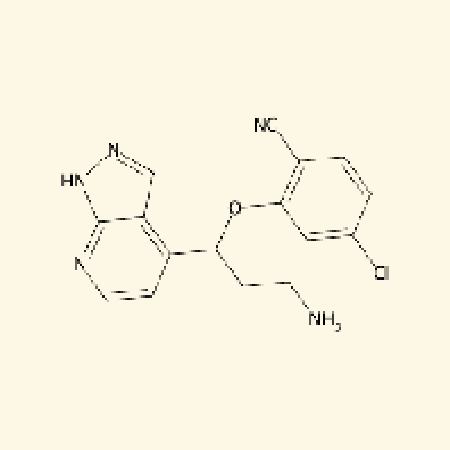 N#Cc1ccc(Cl)cc1OC(CCN)c1ccnc2[nH]ncc12